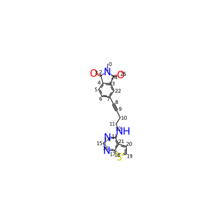 CN1C(=O)c2ccc(C#CCCNc3ncnc4sccc34)cc2C1=O